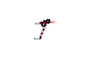 COCCOCCOCCO[C@H]1CC[C@H]2[C@H]3Cc4ccc(O)cc4[C@@]2(CCN3C)C1